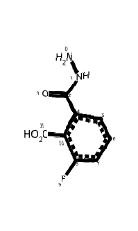 NNC(=O)c1cccc(F)c1C(=O)O